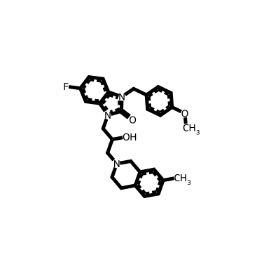 COc1ccc(Cn2c(=O)n(CC(O)CN3CCc4ccc(C)cc4C3)c3cc(F)ccc32)cc1